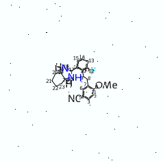 COc1ccc(C#N)cc1CCc1c(F)cccc1C1=N[C@H]2CCCC[C@@H]2N1